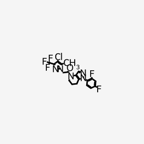 Cc1c(Cl)c(C(F)(F)F)nn1CC(=O)N1CCCc2c1cnn2-c1ccc(F)cc1F